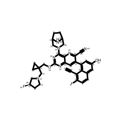 C#Cc1c(F)ccc2cc(O)cc(-c3cc4nc(OCC5(CN6CC[C@@H](F)C6)CC5)nc(N5CC6CCC(C5)N6)c4nc3C#N)c12